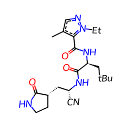 CCn1ncc(C)c1C(=O)N[C@@H](CC(C)(C)C)C(=O)N[C@H](C#N)C[C@@H]1CCNC1=O